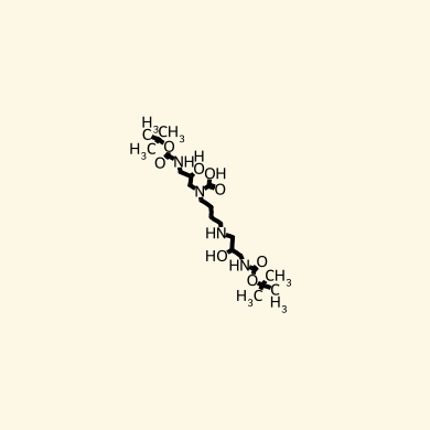 CC(C)(C)OC(=O)NCC(O)CNCCCCN(CC(O)CNC(=O)OC(C)(C)C)C(=O)O